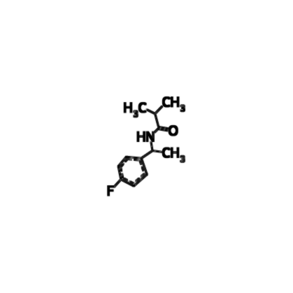 CC(C)C(=O)NC(C)c1ccc(F)cc1